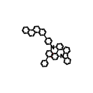 c1ccc(-c2ccc(N(c3ccc(-c4ccc5ccc6c7ccccc7ccc6c5c4)cc3)c3ccccc3-c3ccccc3-n3c4ccccc4c4ccccc43)cc2)cc1